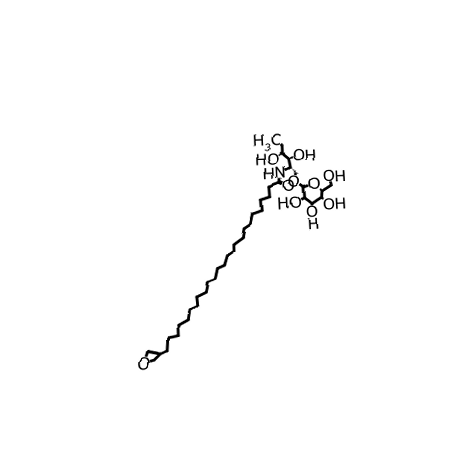 CC[C@@H](O)[C@@H](O)[C@H](COC1OC(CO)C(O)C(O)C1O)NC(=O)CCCCCCCCCCCCCCCCCCCCCCCCC1COC1